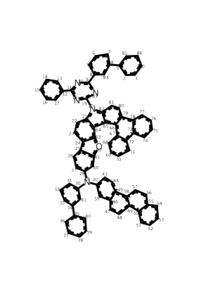 c1ccc(-c2cccc(-c3nc(-c4ccccc4)nc(-n4c5ccc6c7ccc(N(c8cccc(-c9ccccc9)c8)c8ccc9c(ccc%10c%11ccccc%11ccc9%10)c8)cc7oc6c5c5c6c7ccccc7c7ccccc7c6ccc54)n3)c2)cc1